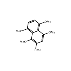 COc1cc(OC)c2c(OC)ccc(OC)c2c1OC